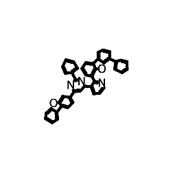 c1ccc(-c2nc(-c3ccc4c(c3)oc3ccccc34)cc(-c3cccnc3-c3cccc4c3oc3c(-c5ccccc5)cccc34)n2)cc1